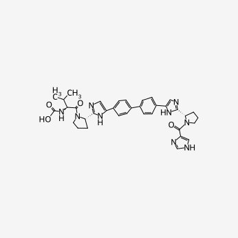 CC(C)[C@H](NC(=O)O)C(=O)N1CCC[C@H]1c1ncc(-c2ccc(-c3ccc(-c4cnc([C@@H]5CCCN5C(=O)c5c[nH]cn5)[nH]4)cc3)cc2)[nH]1